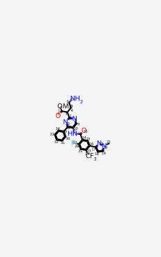 COC(=O)C(CCN)c1ncc(NC(=O)c2cc(-c3ccn(C)n3)c(C(F)(F)F)cc2F)c(-c2ccccc2)n1